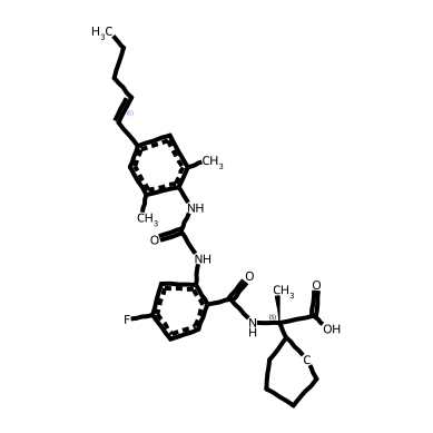 CCC/C=C/c1cc(C)c(NC(=O)Nc2cc(F)ccc2C(=O)N[C@](C)(C(=O)O)C2CCCCC2)c(C)c1